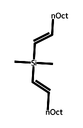 CCCCCCCC/C=C/[Si](C)(C)/C=C/CCCCCCCC